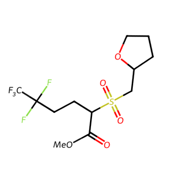 COC(=O)C(CCC(F)(F)C(F)(F)F)S(=O)(=O)CC1CCCO1